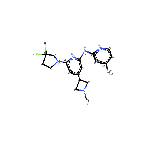 CCN1CC(c2cc(Nc3cc(C(F)(F)F)ccn3)nc(N3CCC(F)(F)C3)c2)C1